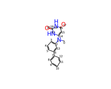 CN(c1cccc(-c2ccccc2)c1)c1cc(=O)[nH]c(=O)[nH]1